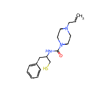 C=CCN1CCN(C(=O)NC(CS)Cc2ccccc2)CC1